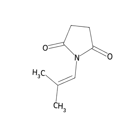 CC(C)=CN1C(=O)CCC1=O